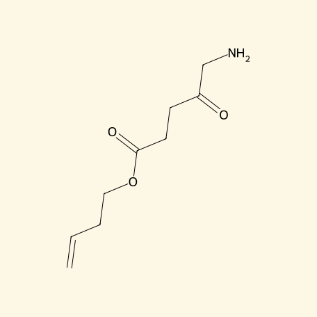 C=CCCOC(=O)CCC(=O)CN